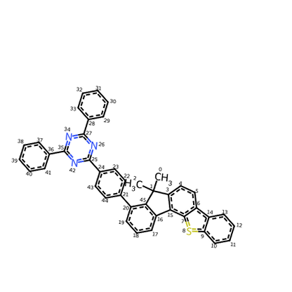 CC1(C)c2ccc3c(sc4ccccc43)c2-c2cccc(-c3ccc(-c4nc(-c5ccccc5)nc(-c5ccccc5)n4)cc3)c21